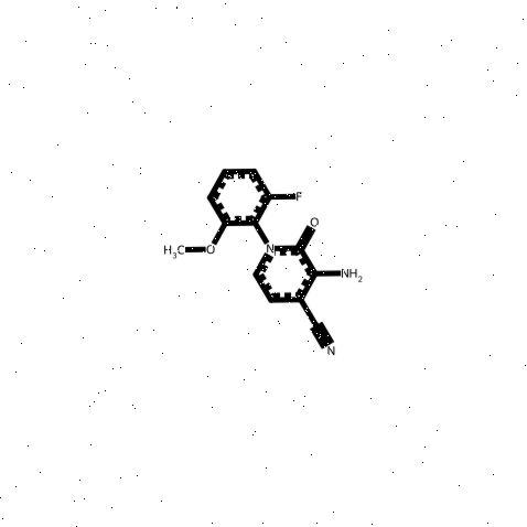 COc1cccc(F)c1-n1ccc(C#N)c(N)c1=O